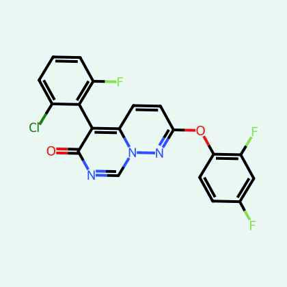 O=c1ncn2nc(Oc3ccc(F)cc3F)ccc2c1-c1c(F)cccc1Cl